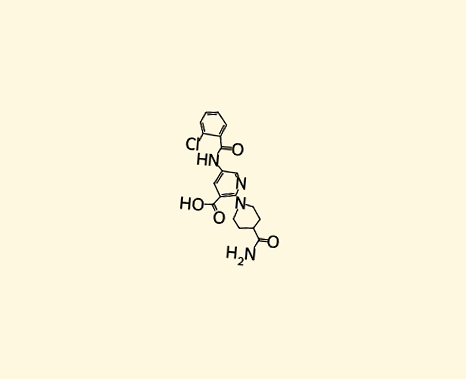 NC(=O)C1CCN(c2ncc(NC(=O)c3ccccc3Cl)cc2C(=O)O)CC1